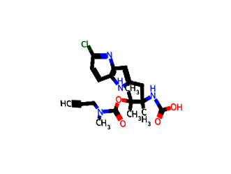 C#CCN(C)C(=O)OC(C)(C)C(C)(Cc1cc2nc(Cl)ccc2[nH]1)NC(=O)O